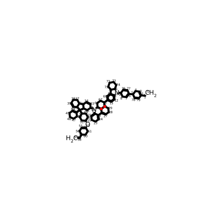 C=CC1=CCC(C2=CCC(N3c4ccc(C5CCC(N(C6=CCCC=C6C6=CCCCC6)C6C=CC7C8CCC=CC8C(C8=CCCCC8)(C8CCC(OC9=CCC(C=C)CC9)CC8)C7C6)CC5)cc4C4CCCCC43)C=C2)C=C1